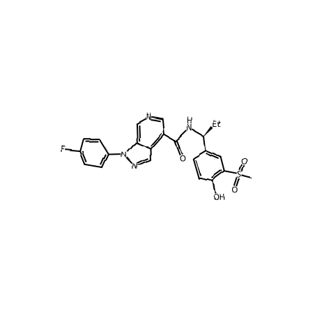 CC[C@H](NC(=O)c1cncc2c1cnn2-c1ccc(F)cc1)c1ccc(O)c(S(C)(=O)=O)c1